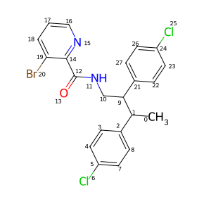 CC(c1ccc(Cl)cc1)C(CNC(=O)c1ncccc1Br)c1ccc(Cl)cc1